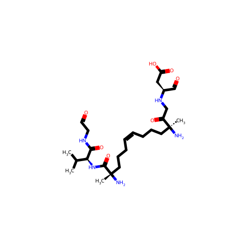 CC(C)[C@H](NC(=O)[C@@](C)(N)CCC/C=C\CCC[C@](C)(N)C(=O)CN[C@H](C=O)CC(=O)O)C(=O)NCC=O